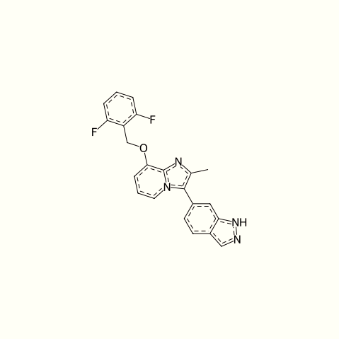 Cc1nc2c(OCc3c(F)cccc3F)cccn2c1-c1ccc2cn[nH]c2c1